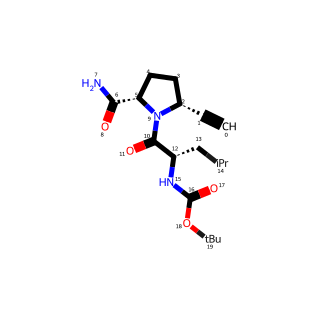 C#C[C@H]1CC[C@@H](C(N)=O)N1C(=O)[C@H](CC(C)C)NC(=O)OC(C)(C)C